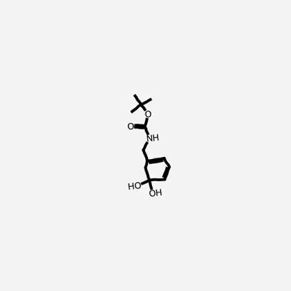 CC(C)(C)OC(=O)NCC1=CC=CC(O)(O)C1